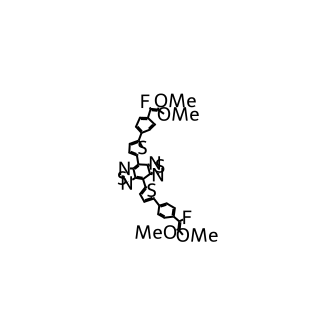 COC(OC)=C(F)c1ccc(-c2ccc(-c3c4c(c(-c5ccc(-c6ccc(C(F)=C(OC)OC)cc6)s5)c5nsnc35)N=S=N4)s2)cc1